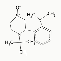 CC(C)c1ccccc1C1C[S+]([O-])CCN1C(C)(C)C